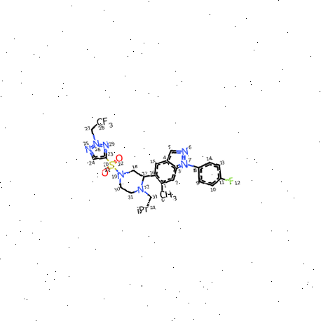 Cc1cc2c(cnn2-c2ccc(F)cc2)cc1C1CN(S(=O)(=O)c2cnn(CC(F)(F)F)n2)CCN1CC(C)C